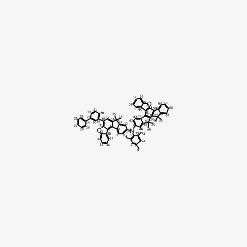 Cc1cc(C)c(N(c2ccc3c(c2)C(C)(C)c2cc(-c4cccc(-c5ccccc5)c4)c4oc5ccccc5c4c2-3)c2ccc3c(c2)C(C)(C)c2c4c(c5oc6ccccc6c5c2-3)-c2ccccc2C4(C)C)c(C)c1